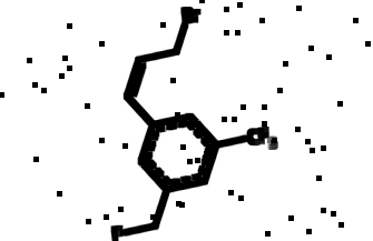 FCc1cc(/C=C\CBr)cc(C(F)(F)F)c1